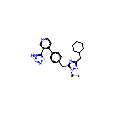 CCCCCn1nc(CC2CCCCC2)nc1Cc1ccc(-c2ccncc2-c2nnn[nH]2)cc1